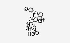 COc1ccc(COc2cccc(C(F)F)c2-c2c(Cl)cc3c4c(cnc3c2F)N(C)C(=O)[C@H]2CN(C(=O)O)CCN42)cc1